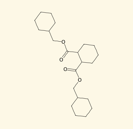 O=C(OCC1CCCCC1)C1CCCCC1C(=O)OCC1CCCCC1